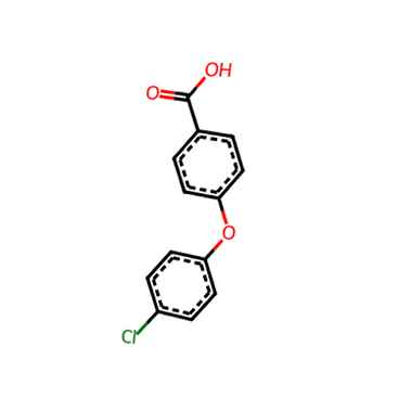 O=C(O)c1ccc(Oc2ccc(Cl)cc2)cc1